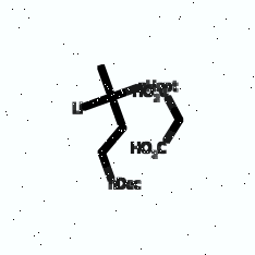 O=C(O)CC(=O)O.[Li][C](C)(CCCCCCC)CCCCCCCCCCCC